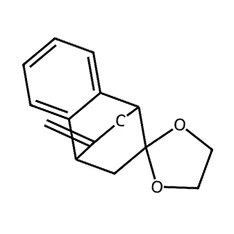 C=C1CC2c3ccccc3C1CC21OCCO1